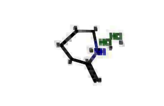 C=C1CCCCN1.Cl.Cl